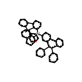 CC1(c2ccccc2)c2ccccc2-c2cccc(N(c3ccc4c(c3)c(-c3ccccc3)c(-c3ccccc3)c3ccccc34)c3cccc4ccccc34)c21